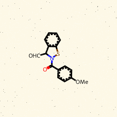 COc1ccc(C(=O)N2Sc3ccccc3C2C=O)cc1